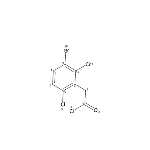 O=C(Cl)Cc1c(Cl)ccc(Br)c1Cl